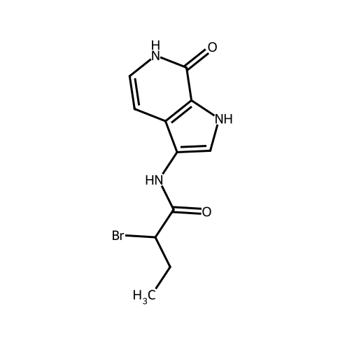 CCC(Br)C(=O)Nc1c[nH]c2c(=O)[nH]ccc12